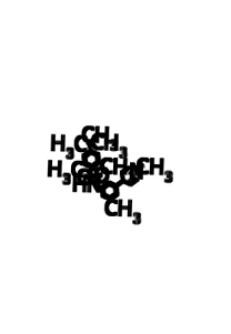 Cc1cc(NS(=O)(=O)c2c(C)cc(C(C)(C)C)cc2C)cc(C2CCN(C)CC2)c1